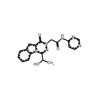 CC(O)c1nn(CC(=O)Nc2ccncn2)c(=O)c2cc3ccccc3n12